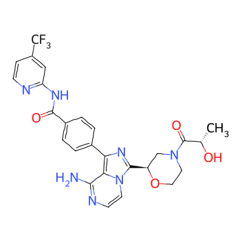 C[C@H](O)C(=O)N1CCO[C@@H](c2nc(-c3ccc(C(=O)Nc4cc(C(F)(F)F)ccn4)cc3)c3c(N)nccn23)C1